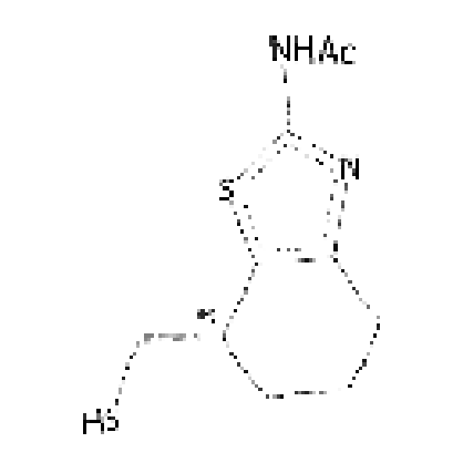 CC(=O)Nc1nc2c(s1)[C@@H](CS)CCC2